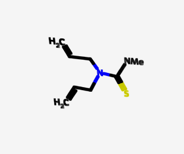 C=CCN(CC=C)C(=S)NC